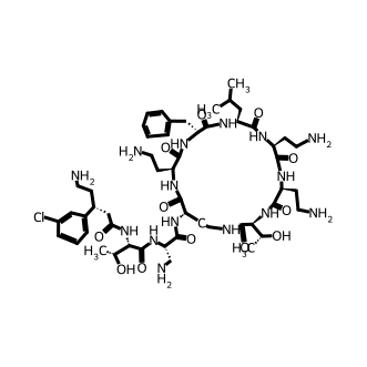 CC(C)C[C@@H]1NC(=O)[C@@H](Cc2ccccc2)NC(=O)[C@H](CCN)NC(=O)[C@@H](NC(=O)[C@H](CN)NC(=O)[C@@H](NC(=O)C[C@@H](CCN)c2cccc(Cl)c2)[C@@H](C)O)CCNC(=O)[C@H]([C@@H](C)O)NC(=O)[C@H](CCN)NC(=O)[C@H](CCN)NC1=O